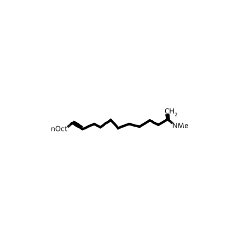 C=C(CCCCCCCCC=CCCCCCCCC)NC